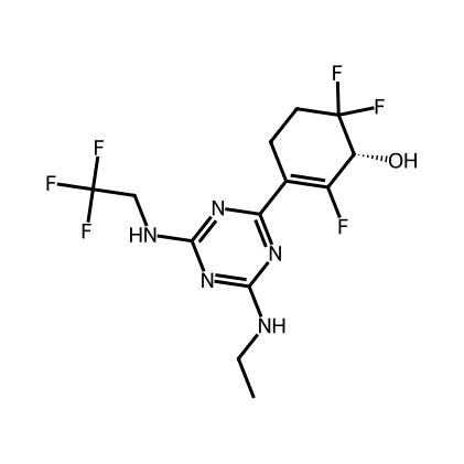 CCNc1nc(NCC(F)(F)F)nc(C2=C(F)[C@@H](O)C(F)(F)CC2)n1